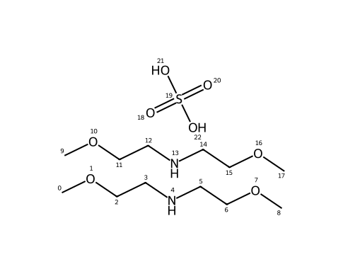 COCCNCCOC.COCCNCCOC.O=S(=O)(O)O